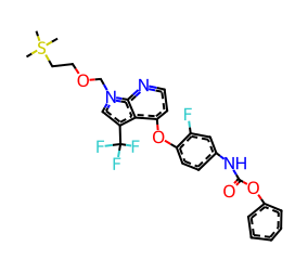 CS(C)(C)CCOCn1cc(C(F)(F)F)c2c(Oc3ccc(NC(=O)Oc4ccccc4)cc3F)ccnc21